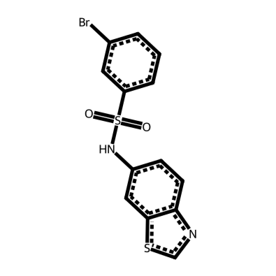 O=S(=O)(Nc1ccc2ncsc2c1)c1cccc(Br)c1